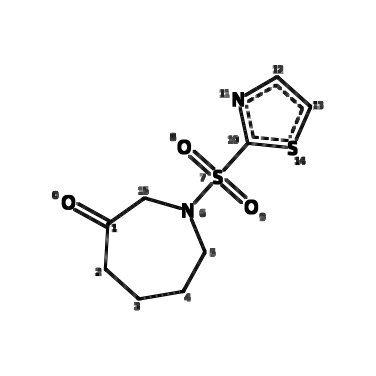 O=C1CCCCN(S(=O)(=O)c2nccs2)C1